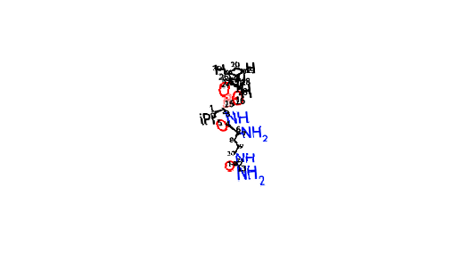 CC(C)C[C@H](NC(=O)C(N)CCCNC(N)=O)B1O[C@@H]2C[C@@H]3C[C@@H](C3(C)C)[C@]2(C)O1